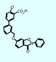 O=C(O)c1cc(-c2cccc(COc3ccc4c(=O)n(-c5ccccc5)oc4c3)c2)ccc1Cl